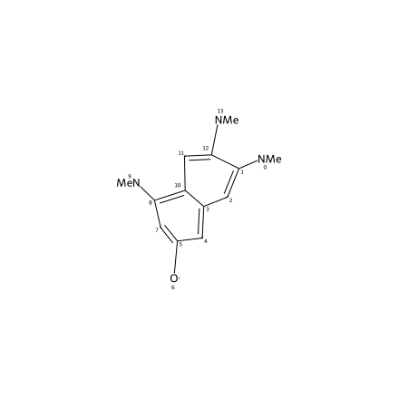 CNc1cc2cc([O])cc(NC)c2cc1NC